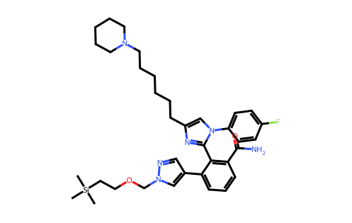 C[Si](C)(C)CCOCn1cc(-c2cccc(C(N)=O)c2-c2nc(CCCCCCN3CCCCC3)cn2-c2ccc(F)cc2)cn1